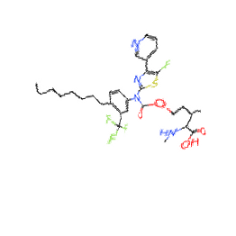 CCCCCCCCc1ccc(N(C(=O)OCCC(C)C(NC)C(=O)O)c2nc(-c3cccnc3)c(F)s2)cc1C(F)(F)F